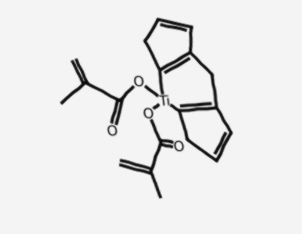 C=C(C)C(=O)[O][Ti]1([O]C(=O)C(=C)C)[C]2=C(C=CC2)CC2=[C]1CC=C2